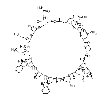 CCCC[C@H]1C(=O)N(C)[C@@H](CCCC)C(=O)N[C@@H](CO)C(=O)N[C@H](C(=O)NCC(N)=O)CSCC(=O)N[C@@H](Cc2ccc(O)cc2)C(=O)N(C)[C@@H](C)C(=O)N[C@@H](CC(N)=O)C(=O)N2CCC[C@H]2C(=O)N[C@@H](Cc2c[nH]cn2)C(=O)N[C@@H](CCC(N)=O)C(=O)N2C[C@H](O)C[C@H]2C(=O)N[C@@H](Cc2c[nH]c3ccccc23)C(=O)N[C@@H](CO)C(=O)N[C@@H](Cc2c[nH]c3ccccc23)C(=O)N1C